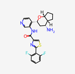 N[C@@H]1C[C@H](c2ccncc2NC(=O)c2csc(-c3c(F)cccc3F)n2)O[C@@H]2CCC[C@H]12